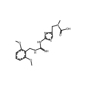 COc1cccc(OC)c1CNC(=N)Nc1nc(CN(C)C(=O)O)cs1